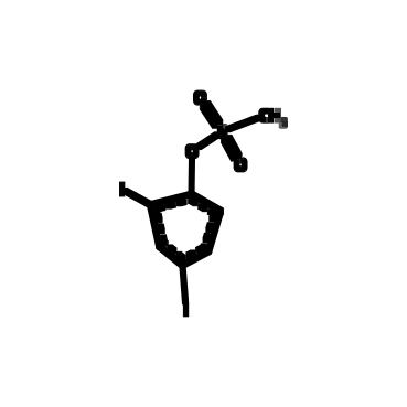 CS(=O)(=O)Oc1ccc(I)cc1I